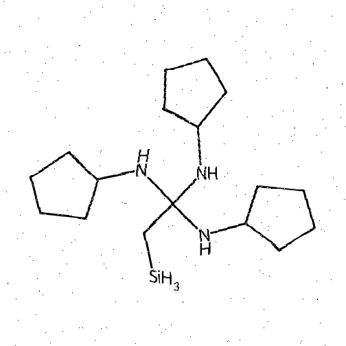 [SiH3]CC(NC1CCCC1)(NC1CCCC1)NC1CCCC1